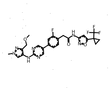 COCc1nn(C)cc1Nc1ncc(-c2ccc(CC(=O)Nc3cc(C4(C(F)(F)F)CC4)on3)c(F)c2)cn1